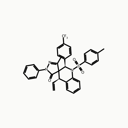 C=C[C@@H]1c2ccccc2N(S(=O)(=O)c2ccc(C)cc2)[C@H](c2ccc(C(F)(F)F)cc2)C12C(=O)N(c1ccccc1)N=C2C